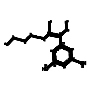 CCCCCC(C)=C(CC)c1cc(O)cc(O)c1